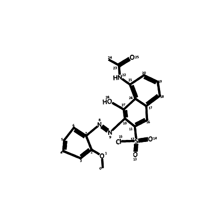 COc1ccccc1N=Nc1c(S(=O)(=O)Cl)cc2cccc(NC(C)=O)c2c1O